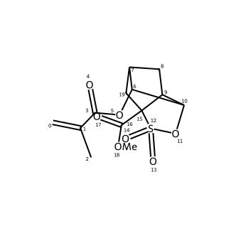 C=C(C)C(=O)OC1C2CC3C1OS(=O)(=O)C3(C(=O)OC)C2